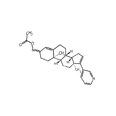 CC(=O)ON=C1C=C2CC[C@H]3[C@H](CC[C@]4(C)C(c5cccnc5)=CC[C@@H]34)[C@@]2(C)CC1